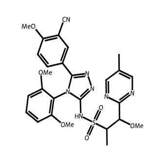 COc1ccc(-c2nnc(NS(=O)(=O)C(C)C(OC)c3ncc(C)cn3)n2-c2c(OC)cccc2OC)cc1C#N